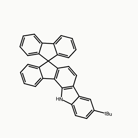 CC(C)(C)c1ccc2[nH]c3c4c(ccc3c2c1)C1(c2ccccc2-c2ccccc21)c1ccccc1-4